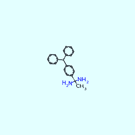 CC(N)(N)c1ccc([C](c2ccccc2)c2ccccc2)cc1